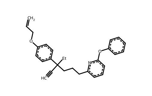 C#CC(CC)(CCCc1cccc(Oc2ccccc2)n1)c1ccc(OCC=C)cc1